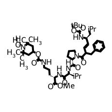 COC(=O)[C@H](CCCNC(=O)OC1CC(C)(C)N(O)C(C)(C)C1)NC(=O)[C@@H](NC(=O)[C@@H]1CCCN1C(=O)C(/C=C/[C@H](CC(C)C)NC(=O)OC(C)(C)C)Cc1ccccc1)C(C)C